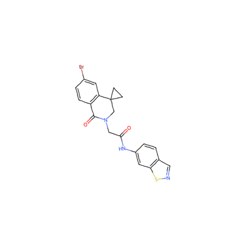 O=C(CN1CC2(CC2)c2cc(Br)ccc2C1=O)Nc1ccc2cnsc2c1